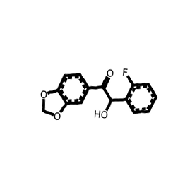 O=C(c1ccc2c(c1)OCO2)C(O)c1ccccc1F